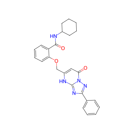 O=C(NC1CCCCC1)c1ccccc1OCc1cc(=O)n2nc(-c3ccccc3)nc2[nH]1